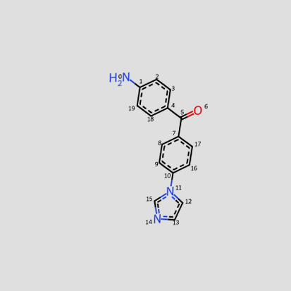 Nc1ccc(C(=O)c2ccc(-n3ccnc3)cc2)cc1